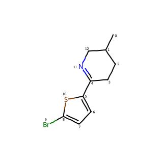 CC1CCC(c2ccc(Br)s2)=NC1